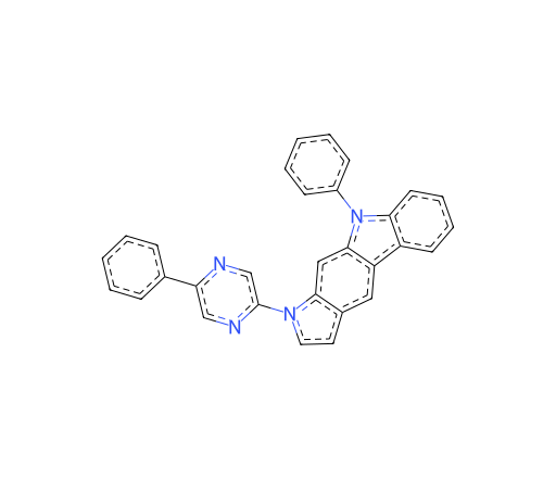 c1ccc(-c2cnc(-n3ccc4cc5c6ccccc6n(-c6ccccc6)c5cc43)cn2)cc1